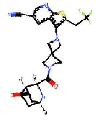 N#Cc1cnc2sc(CC(F)(F)F)c(N3CC4(CN(C(=O)[C@H]5N[C@H]6CC[C@@H]5C(=O)C6)C4)C3)c2c1